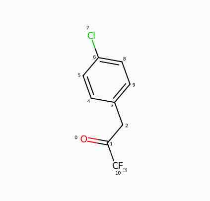 O=C(Cc1ccc(Cl)cc1)C(F)(F)F